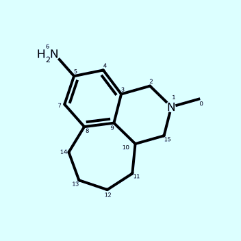 CN1Cc2cc(N)cc3c2C(CCCC3)C1